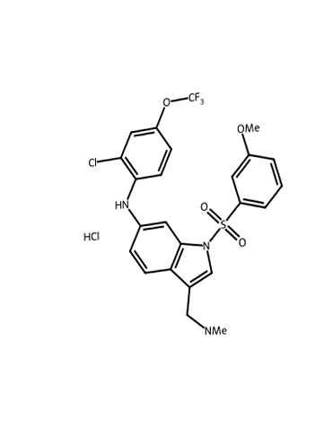 CNCc1cn(S(=O)(=O)c2cccc(OC)c2)c2cc(Nc3ccc(OC(F)(F)F)cc3Cl)ccc12.Cl